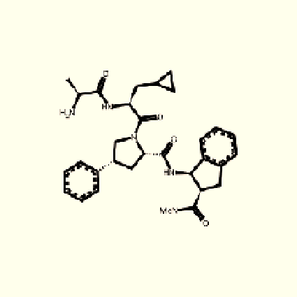 CNC(=O)[C@@H]1Cc2ccccc2[C@@H]1NC(=O)[C@@H]1C[C@H](c2ccccc2)CN1C(=O)[C@H](CC1CC1)NC(=O)[C@H](C)N